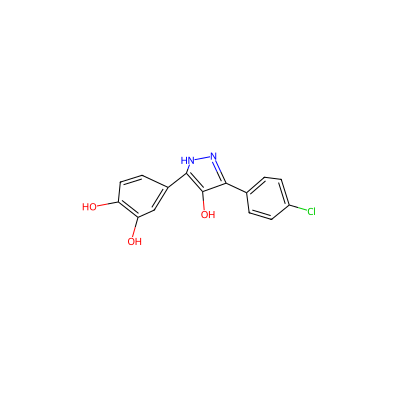 Oc1ccc(-c2[nH]nc(-c3ccc(Cl)cc3)c2O)cc1O